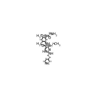 CCCNC1=NC(NCCc2ccncc2)NC=C1C(=O)Nc1cc(NC(=O)CN)c(C)cc1C